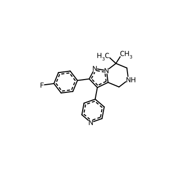 CC1(C)CNCc2c(-c3ccncc3)c(-c3ccc(F)cc3)nn21